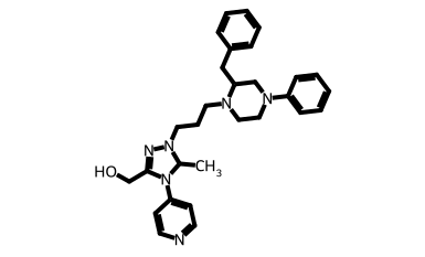 CC1N(CCCN2CCN(c3ccccc3)CC2Cc2ccccc2)N=C(CO)N1c1ccncc1